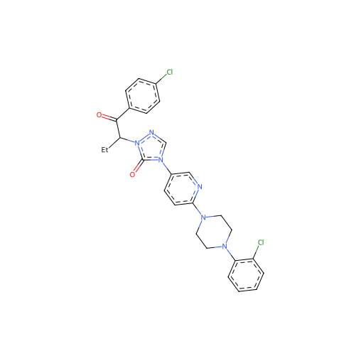 CCC(C(=O)c1ccc(Cl)cc1)n1ncn(-c2ccc(N3CCN(c4ccccc4Cl)CC3)nc2)c1=O